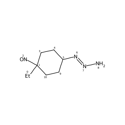 CCC1(N=O)CCC(N=NN)CC1